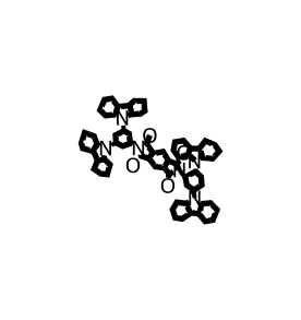 O=c1c2cc3c(=O)n(-c4cc(-n5c6ccccc6c6ccccc65)ccc4-n4c5ccccc5c5ccccc54)c(=O)c3cc2c(=O)n1-c1cc(-n2c3ccccc3c3ccccc32)cc(-n2c3ccccc3c3ccccc32)c1